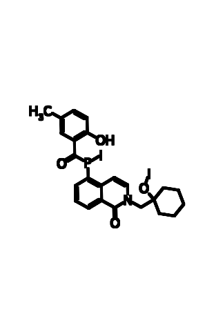 Cc1ccc(O)c(C(=O)P(I)c2cccc3c(=O)n(CC4(OI)CCCCC4)ccc23)c1